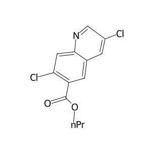 CCCOC(=O)c1cc2cc(Cl)cnc2cc1Cl